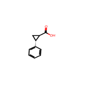 O=C(O)C1C[C@H]1c1ccccc1